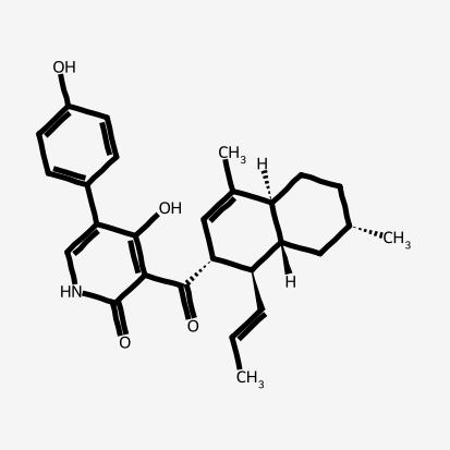 C/C=C/[C@@H]1[C@H]2C[C@@H](C)CC[C@@H]2C(C)=C[C@H]1C(=O)c1c(O)c(-c2ccc(O)cc2)c[nH]c1=O